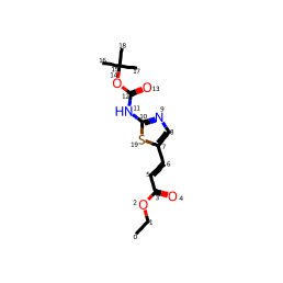 CCOC(=O)/C=C/c1cnc(NC(=O)OC(C)(C)C)s1